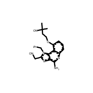 CC(C)Cn1c(CN=O)nc2c(N)nc3cccc(OCCC(C)(C)N=O)c3c21